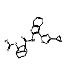 O=C(O)OC1=C(C(=O)Nc2sc3c(c2-c2nc(C4CC4)no2)CCCC3)C2CCC1CC2